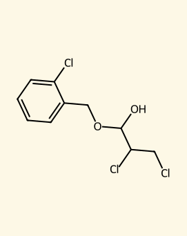 OC(OCc1ccccc1Cl)C(Cl)CCl